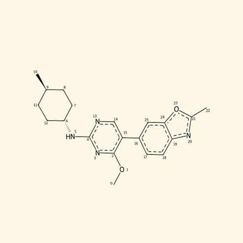 COc1nc(N[C@H]2CC[C@H](C)CC2)ncc1-c1ccc2nc(C)oc2c1